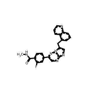 CNC(=O)c1ccc(-c2cnc3ncc(Cc4cccc5ncccc45)n3n2)cc1F